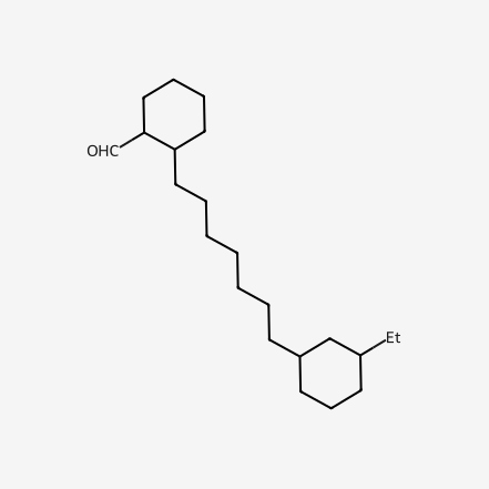 CCC1CCCC(CCCCCCCC2CCCCC2C=O)C1